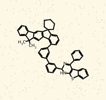 CC1(C)c2ccccc2-c2cc3c(cc21)-c1c(-c2cccc(-c4cccc(C5N=C(c6ccccc6)c6c(sc7ccccc67)N5)c4)c2)cccc1C31CCCCC1